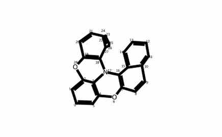 c1cc2c3c(c1)Oc1ccc4ccccc4c1N3c1c(ccc3ccccc13)O2